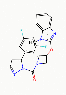 Cn1c(OC2CN(C(=O)N3N=CCC3c3cc(F)cc(F)c3)C2)nc2ccccc21